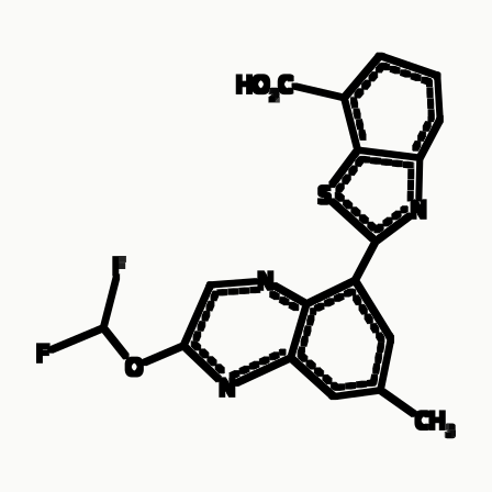 Cc1cc(-c2nc3cccc(C(=O)O)c3s2)c2ncc(OC(F)F)nc2c1